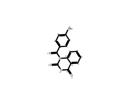 CC(C)(C)c1ccc(C(=O)n2c(=O)oc(=O)c3ccccc32)cc1